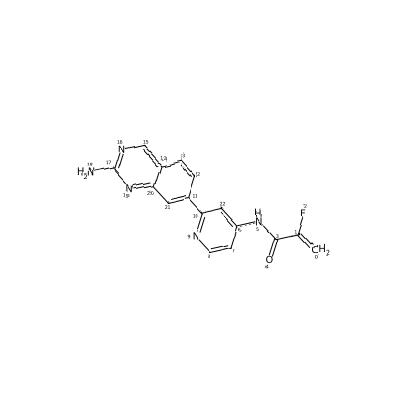 C=C(F)C(=O)Nc1ccnc(-c2ccc3cnc(N)nc3c2)c1